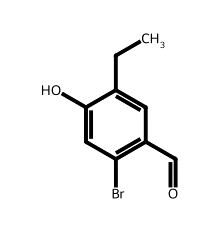 CCc1cc(C=O)c(Br)cc1O